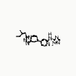 CCC(C)Cc1nnc2cc(-c3ccnc(Nc4ncnn4C)c3)ccn12